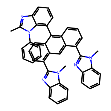 Cc1nc2cccc(-c3c4cccc(-c5nc6ccccc6n5C)c4cc4c(-c5nc6ccccc6n5C)cccc34)c2n1-c1ccccc1